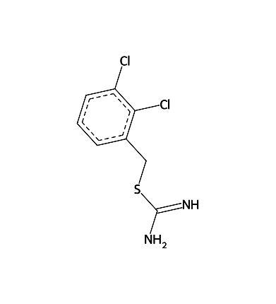 N=C(N)SCc1cccc(Cl)c1Cl